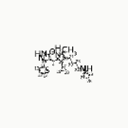 Cc1[nH]c(C=C2C(=O)NN=C2c2cccs2)c(C2CC2)c1CCCCNC1CCC1